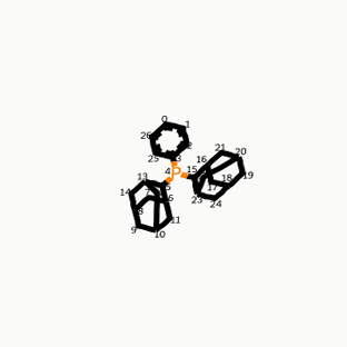 c1ccc(P(C2C3CC4CC(C3)CC2C4)C2C3CC4CC(C3)CC2C4)cc1